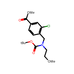 COCCN(Cc1ccc(C(=O)OC)cc1Cl)C(=O)OC(C)(C)C